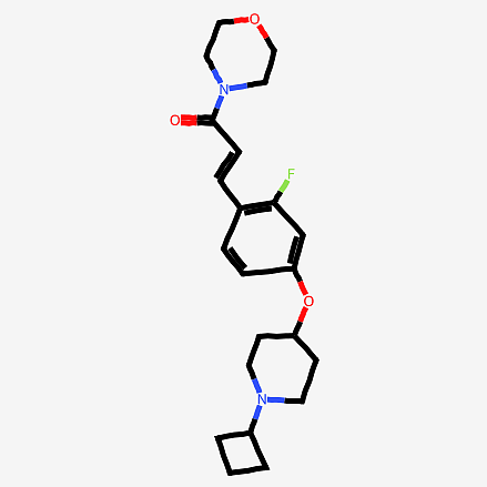 O=C(C=Cc1ccc(OC2CCN(C3CCC3)CC2)cc1F)N1CCOCC1